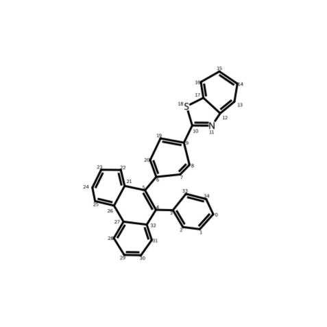 c1ccc(-c2c(-c3ccc(-c4nc5ccccc5s4)cc3)c3ccccc3c3ccccc23)cc1